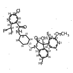 COc1nccc(C2(O)C(=O)N(C[C@H]3CC[C@H](NC(=O)c4cc(Cl)cnc4C(F)F)CC3)c3cc(F)ccc32)c1F